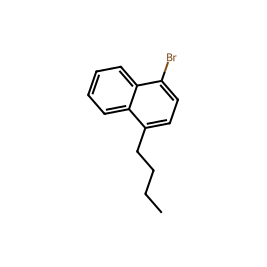 CCCCc1ccc(Br)c2ccccc12